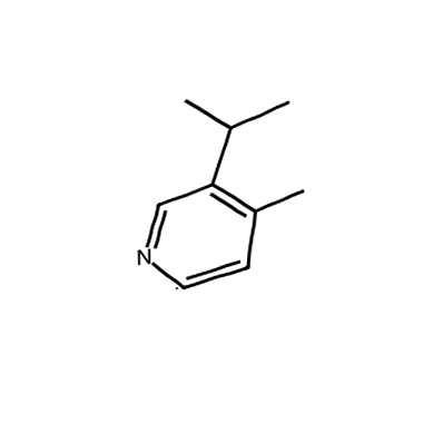 Cc1c[c]ncc1C(C)C